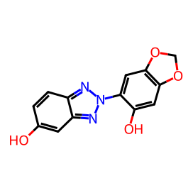 Oc1ccc2nn(-c3cc4c(cc3O)OCO4)nc2c1